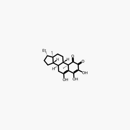 CC[C@H]1CC[C@H]2[C@@H]3CC(O)=C4C(O)=C(O)C(=O)C(=O)[C@]4(C)[C@H]3CC[C@]12C